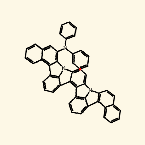 c1ccc(N(c2ccccc2)c2cc3ccccc3c3c4cccc5c6c7c8cccc9c%10c%11ccccc%11ccc%10n(c7ccc6n(c23)c54)c98)cc1